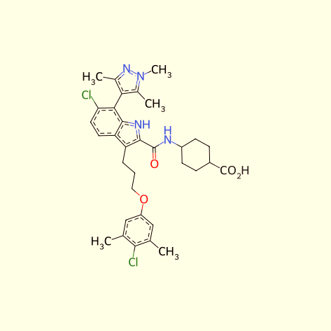 Cc1cc(OCCCc2c(C(=O)NC3CCC(C(=O)O)CC3)[nH]c3c(-c4c(C)nn(C)c4C)c(Cl)ccc23)cc(C)c1Cl